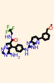 COCc1cccc(-c2ccc3nc(Nc4ccc(-c5c(C(=O)NCC(F)(F)F)cn6ncnc(N)c56)cc4)[nH]c3n2)c1